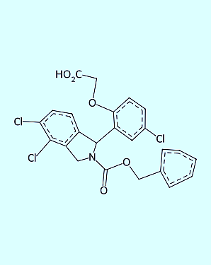 O=C(O)COc1ccc(Cl)cc1C1c2ccc(Cl)c(Cl)c2CN1C(=O)OCc1ccccc1